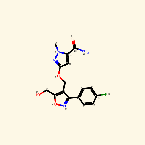 Cn1nc(OCc2c(-c3ccc(F)cc3)noc2CO)cc1C(N)=O